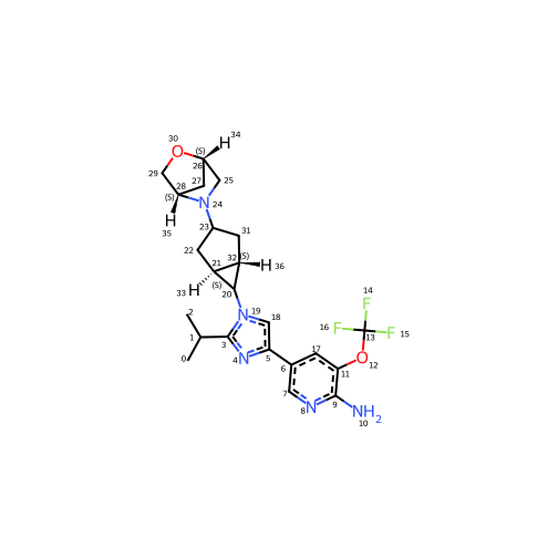 CC(C)c1nc(-c2cnc(N)c(OC(F)(F)F)c2)cn1C1[C@H]2CC(N3C[C@@H]4C[C@H]3CO4)C[C@H]12